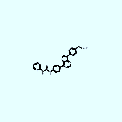 O=C(O)Cc1ccc(-c2csc3c(-c4ccc(NC(=O)Nc5ccccn5)cc4)ncnc23)cc1